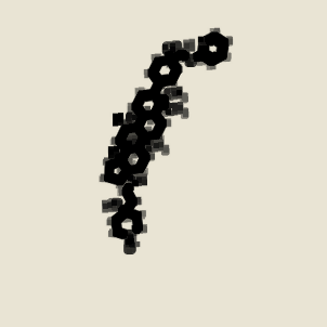 CC1(C)C(C2=CCC(COc3ccccn3)(C(=O)O)CC2)=CC[C@@]2(C)C1CC[C@@]1(C)C3CC[C@@]4(NCCC5(O)CC[S+]([O-])CC5)CCC[C@@H]4[C@H]3CCC12